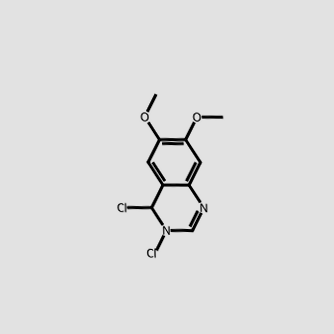 COc1cc2c(cc1OC)C(Cl)N(Cl)C=N2